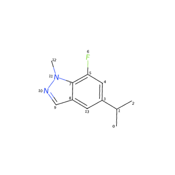 CC(C)c1cc(F)c2c(cnn2C)c1